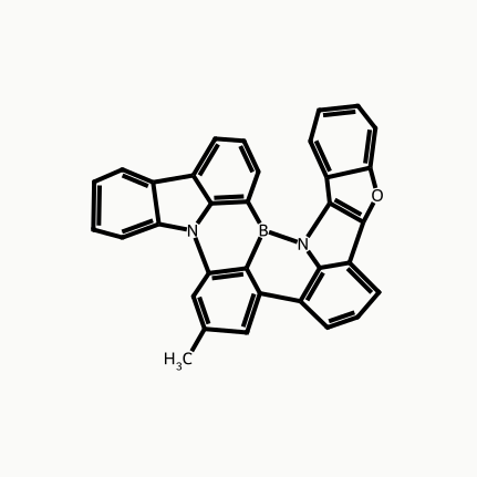 Cc1cc2c3c(c1)-n1c4ccccc4c4cccc(c41)B3n1c3c-2cccc3c2oc3ccccc3c21